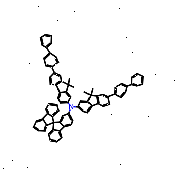 CC1(C)c2cc(-c3ccc(-c4ccccc4)cc3)ccc2-c2ccc(N(c3ccc4c(c3)C(C)(C)c3cc(-c5ccc(-c6ccccc6)cc5)ccc3-4)c3ccc4c(c3)C3(c5ccccc5-c5ccccc53)c3ccccc3-4)cc21